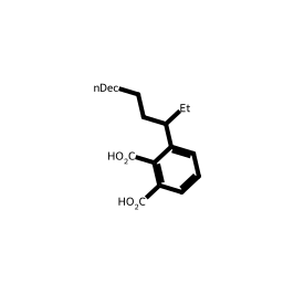 CCCCCCCCCCCCC(CC)c1cccc(C(=O)O)c1C(=O)O